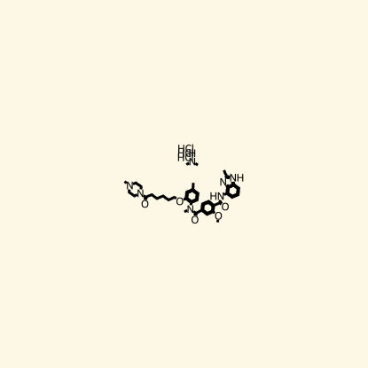 CNC.COc1cc(C(=O)N(C)c2ccc(C)cc2OCCCCCC(=O)N2CCN(C)CC2)ccc1C(=O)Nc1cccc2[nH]c(C)nc12.Cl.Cl.Cl